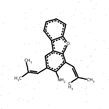 CC(C)=Cc1cc2c(oc3ccccc32)c(C=C(C)C)c1N